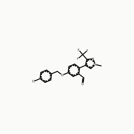 Cn1cc(-c2ccc(OCc3ccc(Cl)cc3)cc2C=O)c(C(F)(F)F)n1